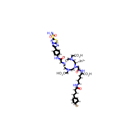 NS(=O)(=O)c1nn2cc(-c3ccc(NC(=O)CN4CCN(CC(=O)O)CCN(CC(=O)N[C@@H](CCCCNC(=O)CCCc5ccc(Br)cc5)C(=O)O)CCN(CC(=O)O)CC4)cc3)nc2s1.[In+3]